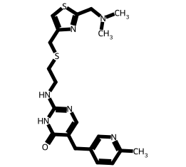 Cc1ccc(Cc2cnc(NCCSCc3csc(CN(C)C)n3)[nH]c2=O)cn1